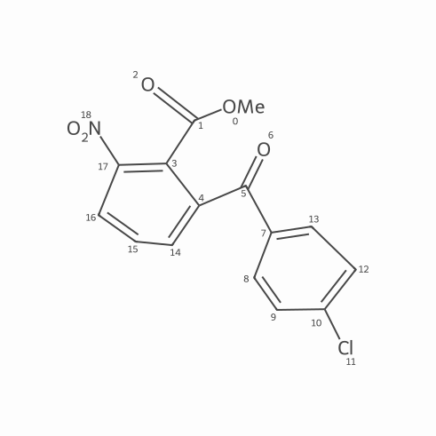 COC(=O)c1c(C(=O)c2ccc(Cl)cc2)cccc1[N+](=O)[O-]